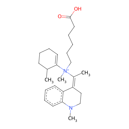 C/C(=C1\CCN(C)c2ccccc21)[N+](C)(CCCCCC(=O)O)C1=CCCCC1C